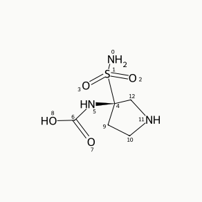 NS(=O)(=O)[C@@]1(NC(=O)O)CCNC1